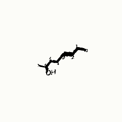 CC/C=C/CC[C@H](C)O